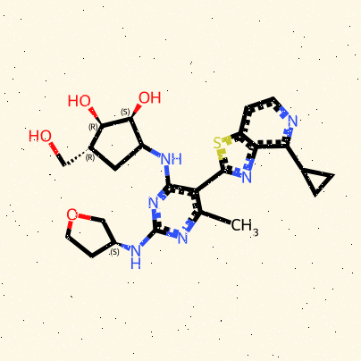 Cc1nc(N[C@H]2CCOC2)nc(NC2C[C@H](CO)[C@@H](O)[C@H]2O)c1-c1nc2c(C3CC3)nccc2s1